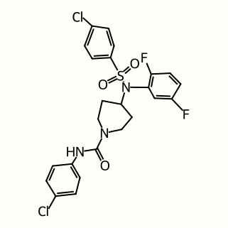 O=C(Nc1ccc(Cl)cc1)N1CCC(N(c2cc(F)ccc2F)S(=O)(=O)c2ccc(Cl)cc2)CC1